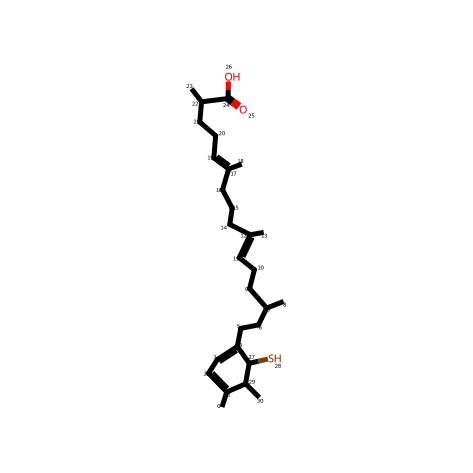 CC1=CC=C(CCC(C)CC/C=C(\C)CCC/C(C)=C/CCC(C)C(=O)O)C(S)C1C